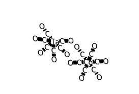 O=[C]=[Co](=[C]=O)(=[C]=O)(=[C]=O)(=[C]=O)=[C]=O.O=[C]=[Ta](=[C]=O)(=[C]=O)(=[C]=O)(=[C]=O)=[C]=O